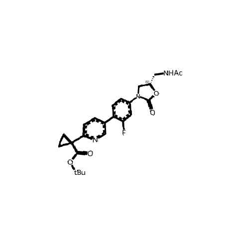 CC(=O)NC[C@H]1CN(c2ccc(-c3ccc(C4(C(=O)OC(C)(C)C)CC4)nc3)c(F)c2)C(=O)O1